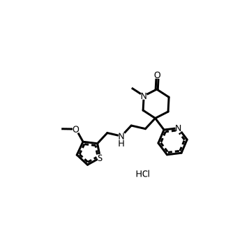 COc1ccsc1CNCCC1(c2ccccn2)CCC(=O)N(C)C1.Cl